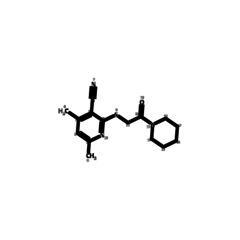 Cc1cc(C)c(C#N)c(SCC(=O)N2CCCCC2)n1